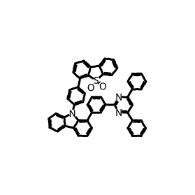 O=S1(=O)c2ccccc2-c2cccc(-c3ccc(-n4c5ccccc5c5cccc(-c6cccc(-c7nc(-c8ccccc8)cc(-c8ccccc8)n7)c6)c54)cc3)c21